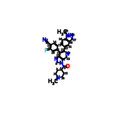 CN1CCC(C(=O)n2cnc3c(-c4ccc(C#N)c(F)c4)c(-c4ccc5c(cnn5C)c4)ncc32)CC1